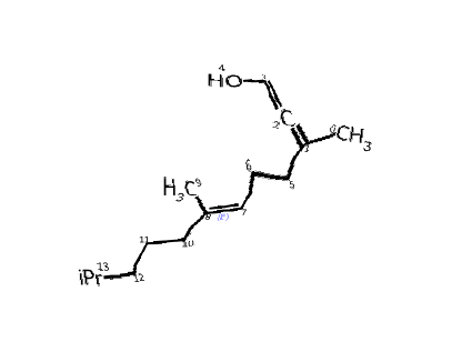 CC(=C=CO)CC/C=C(\C)CCCC(C)C